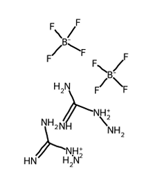 F[B-](F)(F)F.F[B-](F)(F)F.N=C(N)[NH2+]N.N=C(N)[NH2+]N